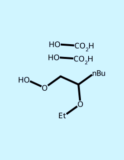 CCCCC(COO)OCC.O=C(O)O.O=C(O)O